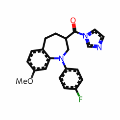 COc1ccc2c(c1)N(c1ccc(F)cc1)CC(C(=O)n1ccnc1)CC2